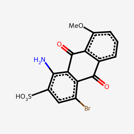 COc1cccc2c1C(=O)c1c(N)c(S(=O)(=O)O)cc(Br)c1C2=O